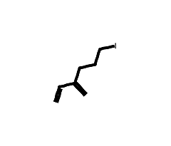 C=CC(=C)CCCI